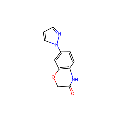 O=C1COc2cc(-n3cc[c]n3)ccc2N1